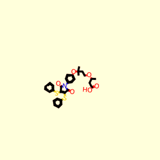 CC(CC(=O)O)OCCC(C)(C)Oc1ccc(N2C(=O)C(Sc3ccccc3)=C(Sc3ccccc3)C2=O)cc1